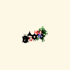 O=C(c1cc(C2CC2)c(OCC23CC4CC(CC(C4)C2)C3)cc1F)N1C[C@H](F)C[C@H]1C(O)(C(F)(F)F)C(F)(F)F